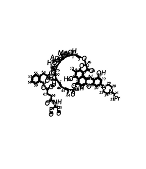 CO[C@H]1/C=C/O[C@@]2(C)Oc3c(C)c(O)c4c(=O)c(c5oc6cc(N7CCN(CC(C)C)CC7)cc(O)c6nc-5c4c3C2=O)NC(=O)/C(C)=C\C=C\[C@H](C)[C@H](OC(=O)Cc2ccccc2COC(=O)CCC(=O)NC(P=O)P=O)[C@@H](C)[C@@H](O)[C@@H](C)[C@H](OC(C)=O)[C@@H]1C